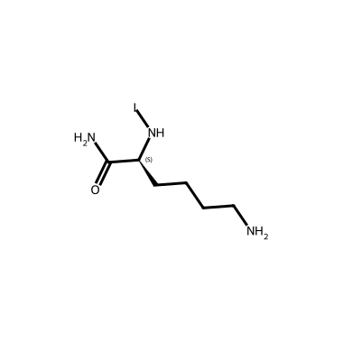 NCCCC[C@H](NI)C(N)=O